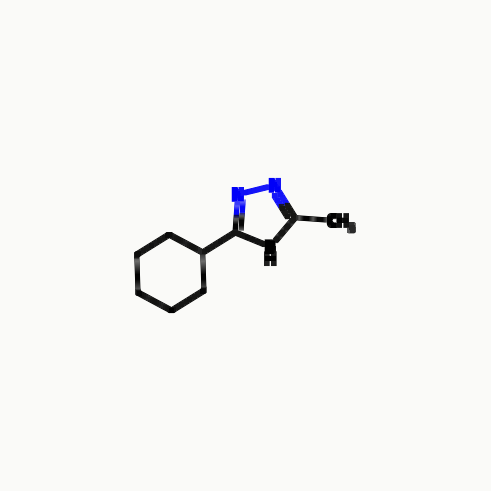 CC1=NN=C(C2CCCCC2)B1